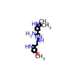 COc1ccc2[nH]cc(CCNc3ncc(-c4ccc5[nH]c(C)c(C)c5c4)c(N)n3)c2c1